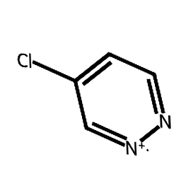 ClC1=CC=N[N+]=C1